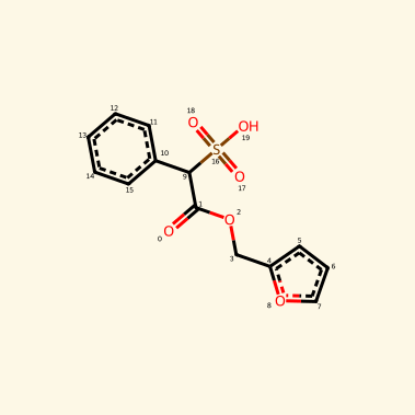 O=C(OCc1ccco1)C(c1ccccc1)S(=O)(=O)O